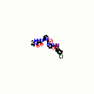 O=C(NC[C@@H]1CCCN1C(=O)CN1CCCC(NS(=O)(=O)c2cc3cc(Cl)ccc3s2)C1=O)c1cnc2n(c1=O)CCS2